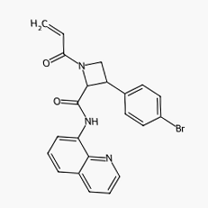 C=CC(=O)N1CC(c2ccc(Br)cc2)C1C(=O)Nc1cccc2cccnc12